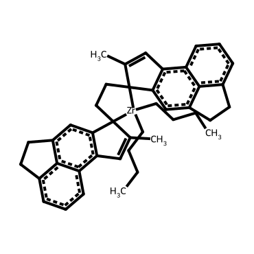 CCC[CH2][Zr]1([CH2]CCC)[C]2(CC[C]13C(C)=Cc1c3cc3c4c(cccc14)CC3)C(C)=Cc1c2cc2c3c(cccc13)CC2